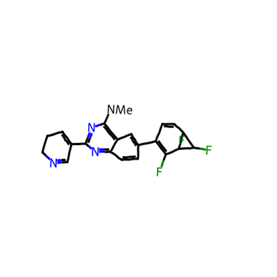 CNc1nc(C2=CCCN=C2)nc2ccc(C3=C(F)C4C(F)C4(F)C=C3)cc12